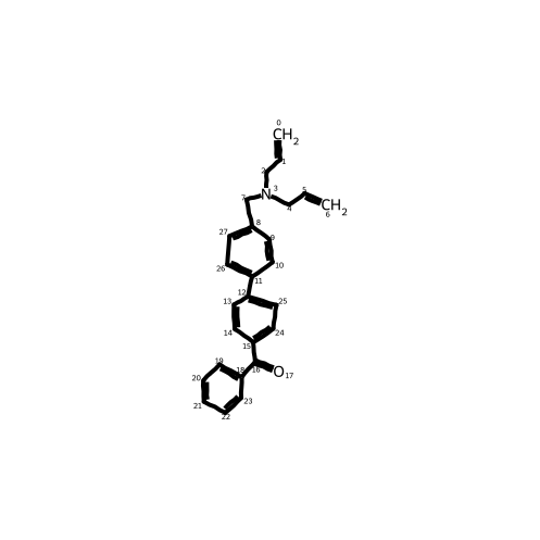 C=CCN(CC=C)Cc1ccc(-c2ccc(C(=O)c3ccccc3)cc2)cc1